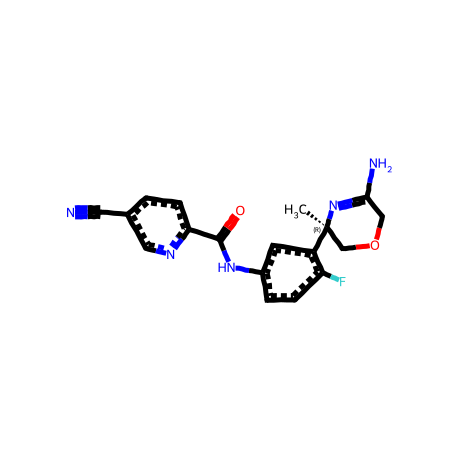 C[C@@]1(c2cc(NC(=O)c3ccc(C#N)cn3)ccc2F)COCC(N)=N1